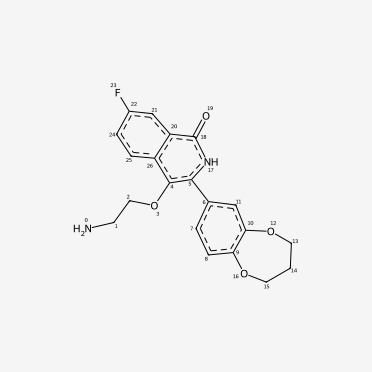 NCCOc1c(-c2ccc3c(c2)OCCCO3)[nH]c(=O)c2cc(F)ccc12